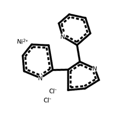 [Cl-].[Cl-].[Ni+2].c1ccc(-c2cccnc2-c2ccccn2)nc1